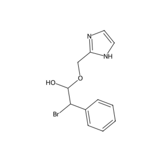 OC(OCc1ncc[nH]1)C(Br)c1ccccc1